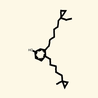 CCC1(CCCCCCc2cc(O)ccc2CCCCCC2(C)CC2)CC1